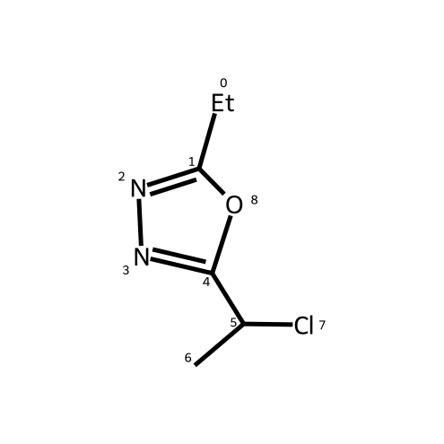 CCc1nnc(C(C)Cl)o1